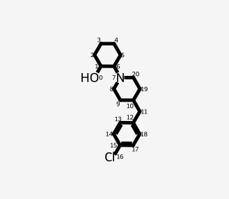 OC1CCCCC1N1CCC(Cc2ccc(Cl)cc2)CC1